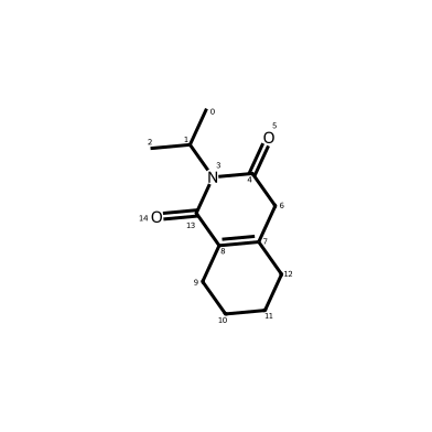 CC(C)N1C(=O)CC2=C(CCCC2)C1=O